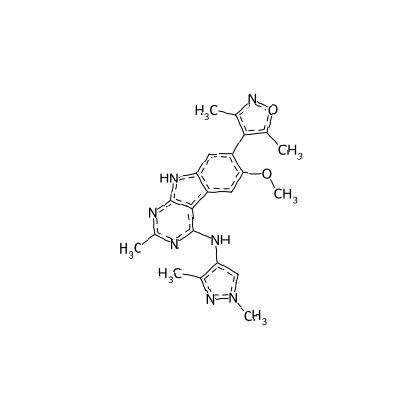 COc1cc2c(cc1-c1c(C)noc1C)[nH]c1nc(C)nc(Nc3cn(C)nc3C)c12